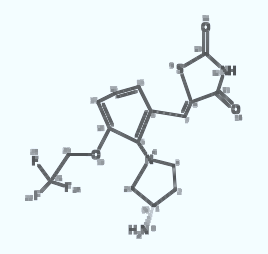 N[C@H]1CCN(c2c(C=C3SC(=O)NC3=O)cccc2OCC(F)(F)F)C1